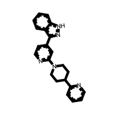 c1ccc(C2CCN(c3cc(-c4n[nH]c5ccccc45)ccn3)CC2)nc1